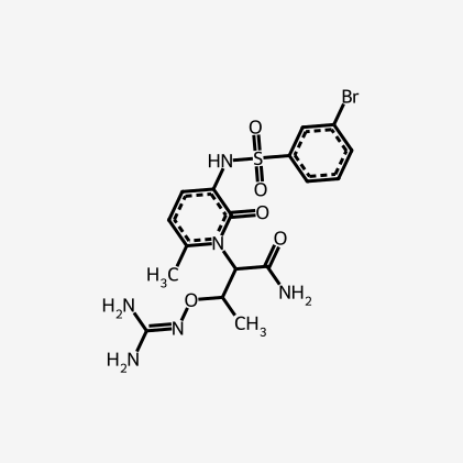 Cc1ccc(NS(=O)(=O)c2cccc(Br)c2)c(=O)n1C(C(N)=O)C(C)ON=C(N)N